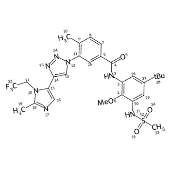 COc1c(NC(=O)c2ccc(C)c(-n3cc(-c4cnc(C)n4CC(F)(F)F)nn3)c2)cc(C(C)(C)C)cc1NS(C)(=O)=O